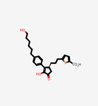 O=C1C[C@H](CCCc2ccc(C(=O)O)s2)C(c2ccc(CCCCCCO)cc2)=C1O